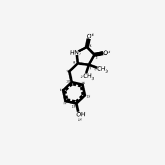 CC1(C)C(=O)C(=O)NC1Cc1ccc(O)cc1